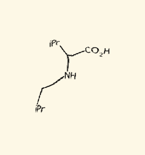 CC(C)CNC(C(=O)O)C(C)C